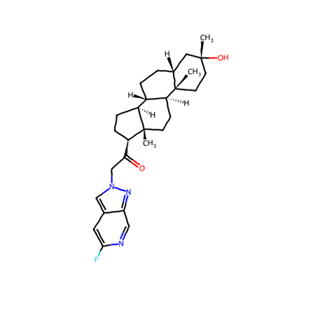 C[C@@]1(O)CC[C@@]2(C)[C@H](CC[C@@H]3[C@@H]2CC[C@]2(C)[C@@H](C(=O)Cn4cc5cc(F)ncc5n4)CC[C@@H]32)C1